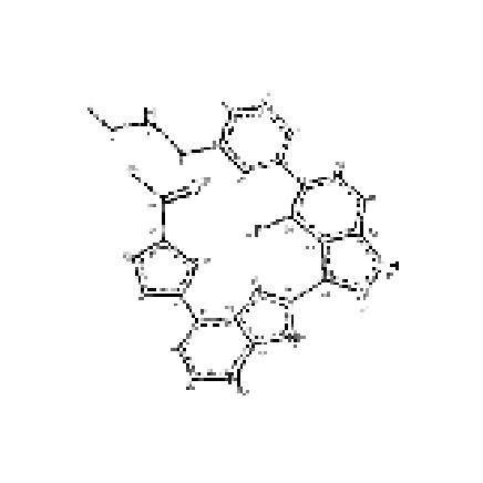 CCNCc1cncc(-c2ncc3[nH]nc(-c4nc5c(-c6ccc(C(C)=O)s6)ccnc5[nH]4)c3c2F)c1